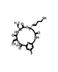 C/C=C1\NC(=O)c2cc(F)cc(n2)CNC(=O)C[C@@H](/C=C/CCS)OC(=O)[C@H](CC)NC1=O